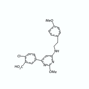 COc1ccc(CCNc2cc(-c3ccc(Cl)c(C(=O)O)c3)nc(OC)n2)cc1